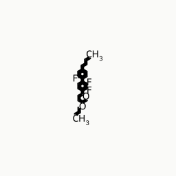 CCCCCc1ccc(-c2ccc(C3CCC(OCCCC)CO3)c(F)c2F)c(F)c1